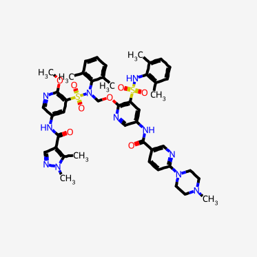 COc1ncc(NC(=O)c2cnn(C)c2C)cc1S(=O)(=O)N(COc1ncc(NC(=O)c2ccc(N3CCN(C)CC3)nc2)cc1S(=O)(=O)Nc1c(C)cccc1C)c1c(C)cccc1C